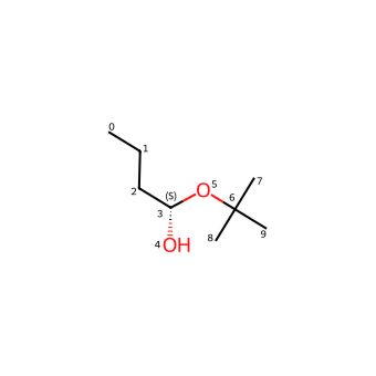 CCC[C@@H](O)OC(C)(C)C